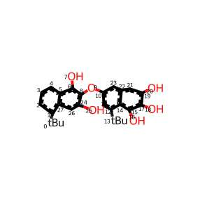 CC(C)(C)c1cccc2c(O)c(Oc3cc(C(C)(C)C)c4c(O)c(O)c(O)cc4c3)c(O)cc12